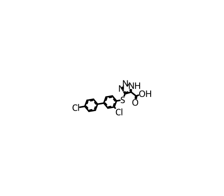 O=C(O)c1[nH]nnc1Sc1ccc(-c2ccc(Cl)cc2)cc1Cl